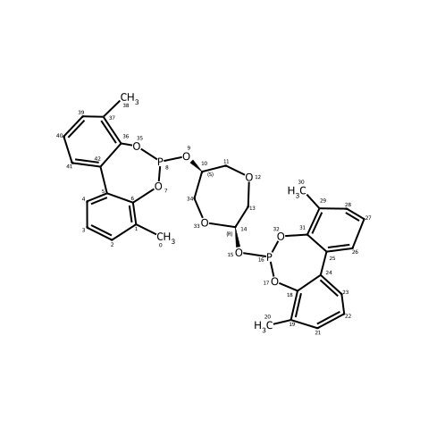 Cc1cccc2c1op(O[C@H]1COC[C@@H](Op3oc4c(C)cccc4c4cccc(C)c4o3)OC1)oc1c(C)cccc12